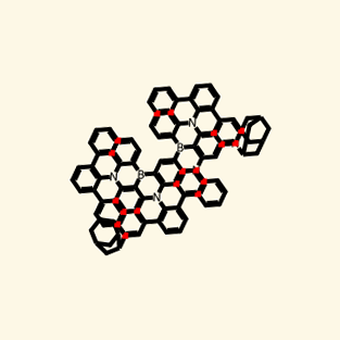 c1ccc(-c2cccc(-c3ccccc3)c2N2c3ccccc3B3c4cc5c(cc4N(c4ccccc4)c4cc(N6C7CC8CC(C7)CC6C8)cc2c43)N(c2c(-c3ccccc3)cccc2-c2ccccc2)c2cc(N3CC4CC6CC4CC3C6)cc3c2B5c2ccccc2N3c2c(-c3ccccc3)cccc2-c2ccccc2)cc1